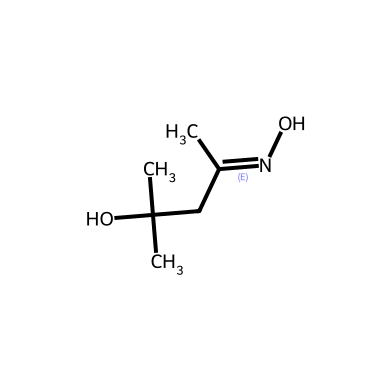 C/C(CC(C)(C)O)=N\O